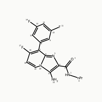 CCCNC(=O)c1nc2c(-c3cc(F)cc(F)c3)c(F)ccn2c1N